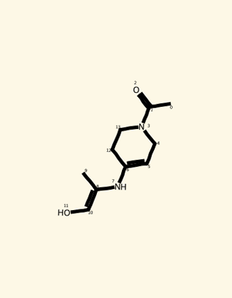 CC(=O)N1CC=C(N/C(C)=C/O)CC1